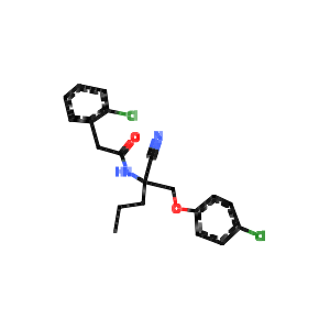 CCCC(C#N)(COc1ccc(Cl)cc1)NC(=O)Cc1ccccc1Cl